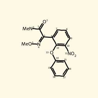 CNC(=O)C(=NOC)c1cccc([N+](=O)[O-])c1Oc1ccccc1